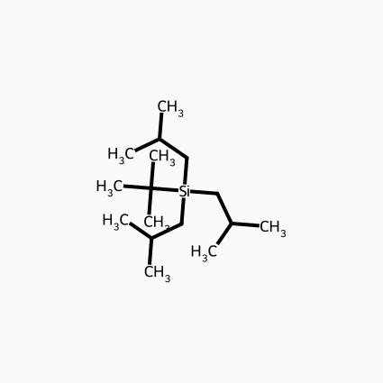 CC(C)C[Si](CC(C)C)(CC(C)C)C(C)(C)C